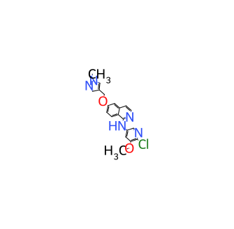 COc1cc(Nc2nccc3cc(OCc4cnn(C)c4)ccc23)cnc1Cl